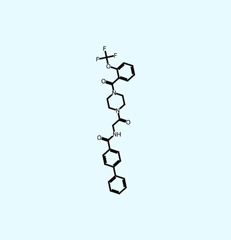 O=C(NCC(=O)N1CCN(C(=O)c2ccccc2OC(F)(F)F)CC1)c1ccc(-c2ccccc2)cc1